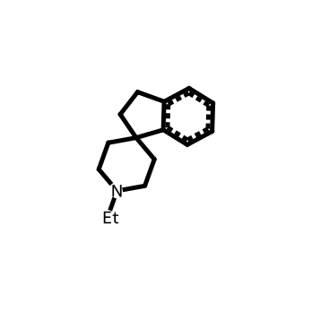 CCN1CCC2(CCc3ccccc32)CC1